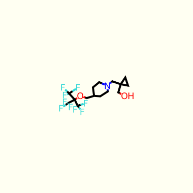 OCC1(CN2CCC(COC(C(F)(F)F)(C(F)(F)F)C(F)(F)F)CC2)CC1